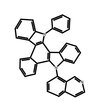 c1ccc(-n2c3ccccc3c3c4ccccc4c4c(c5ccccc5n4-c4cccc5ccncc45)c32)cc1